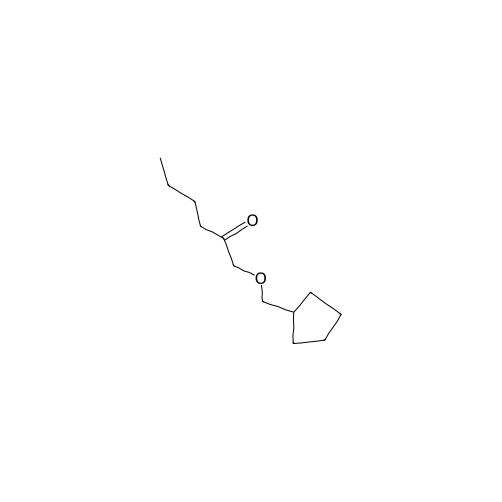 CCCCC(=O)COCC1CCCC1